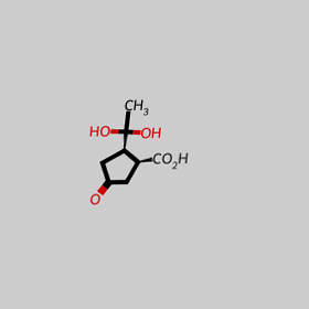 CC(O)(O)[C@@H]1CC(=O)C[C@@H]1C(=O)O